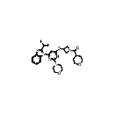 O=C(C1CCOCC1)N1CC(Oc2cc(-n3c(C(F)F)nc4ccccc43)nc(N3CCOCC3)n2)C1